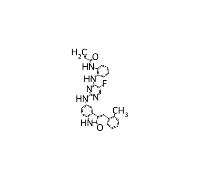 C=CC(=O)Nc1ccccc1Nc1nc(Nc2ccc3c(c2)C(=Cc2ccccc2C)C(=O)N3)ncc1F